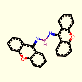 c1ccc2c(=NPN=c3c4ccccc4oc4ccccc34)c3ccccc3oc2c1